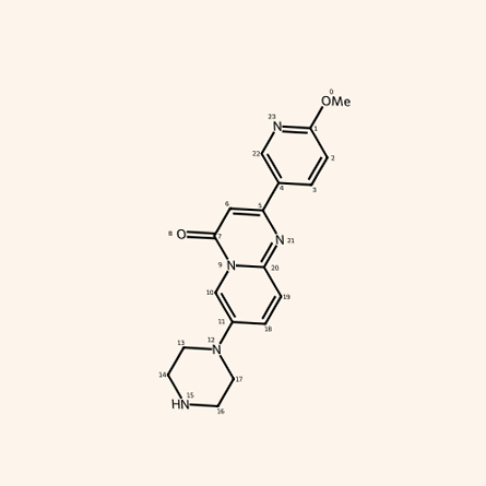 COc1ccc(-c2cc(=O)n3cc(N4CCNCC4)ccc3n2)cn1